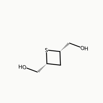 OC[C@@H]1C[C@H](CO)S1